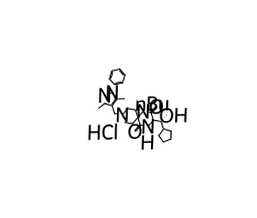 CCCCN1C(=O)[C@@H]([C@H](O)C2CCCC2)NC(=O)C12CCN(Cc1c(C)nn(-c3ccccc3)c1C)CC2.Cl